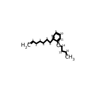 C=CCCCCCc1ccccc1OCCCC